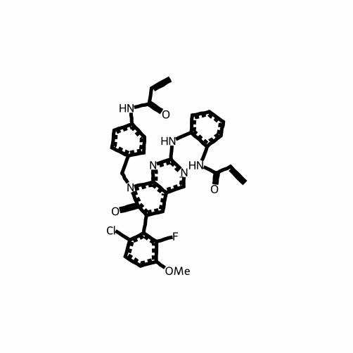 C=CC(=O)Nc1ccc(Cn2c(=O)c(-c3c(Cl)ccc(OC)c3F)cc3cnc(Nc4ccccc4NC(=O)C=C)nc32)cc1